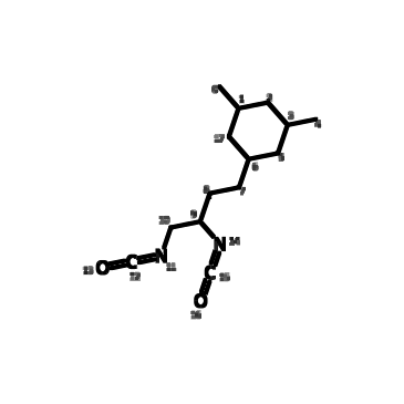 CC1CC(C)CC(C[CH]C(CN=C=O)N=C=O)C1